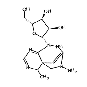 CC1N=CN=C2N([C@@H]3O[C@H](CO)[C@@H](O)[C@H]3O)NC3=CC21CN3N